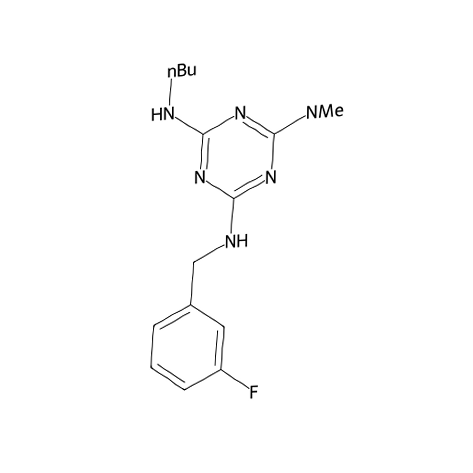 CCCCNc1nc(NC)nc(NCc2cccc(F)c2)n1